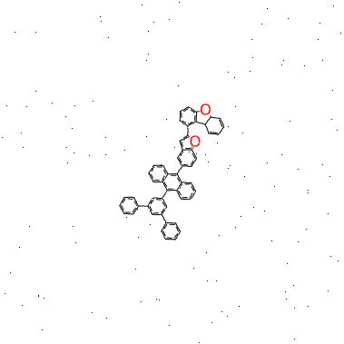 C1=CC2Oc3cccc(-c4cc5cc(-c6c7ccccc7c(-c7cc(-c8ccccc8)cc(-c8ccccc8)c7)c7ccccc67)ccc5o4)c3C2C=C1